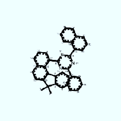 CC1(C)c2ccccc2-c2c1ccc1cccc(-c3nc(-c4ccccc4)nc(-c4cccc5ccccc45)n3)c21